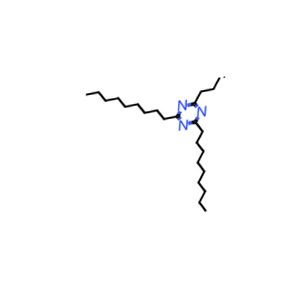 [CH2]CCc1nc(CCCCCCCCC)nc(CCCCCCCCC)n1